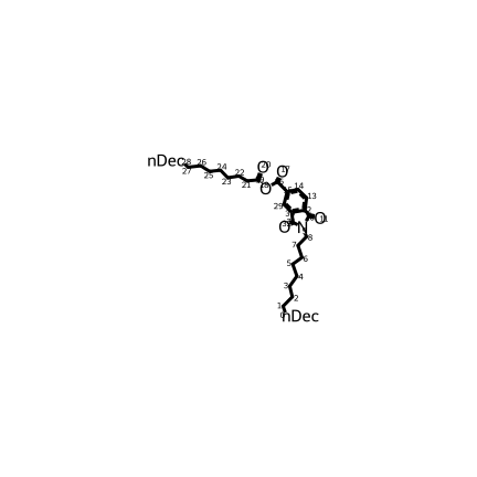 CCCCCCCCCCCCCCCCCCN1C(=O)c2ccc(C(=O)OC(=O)CCCCCCCCCCCCCCCCC)cc2C1=O